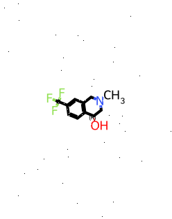 CN1Cc2cc(C(F)(F)F)ccc2[C@@H](O)C1